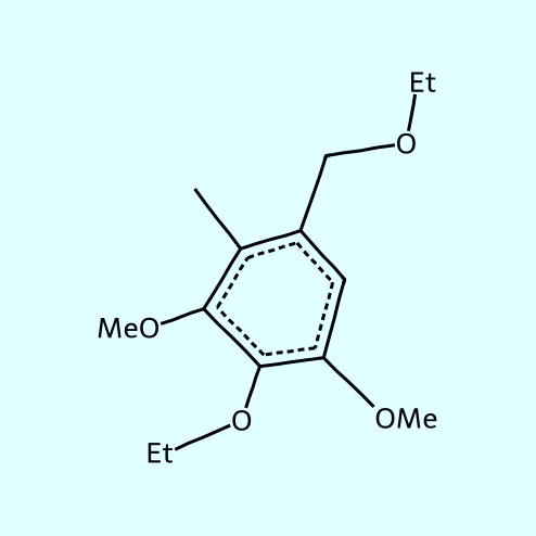 CCOCc1cc(OC)c(OCC)c(OC)c1C